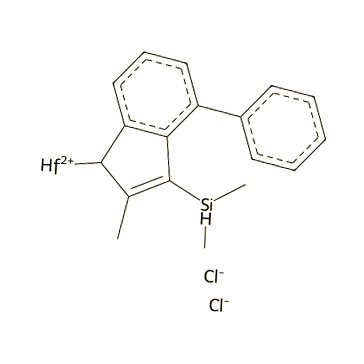 CC1=C([SiH](C)C)c2c(-c3ccccc3)cccc2[CH]1[Hf+2].[Cl-].[Cl-]